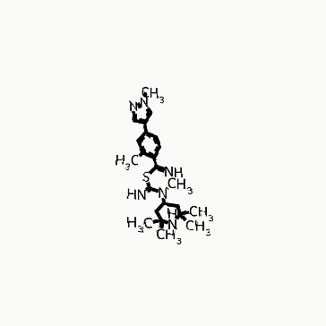 Cc1cc(-c2cnn(C)c2)ccc1C(=N)SC(=N)N(C)C1CC(C)(C)NC(C)(C)C1